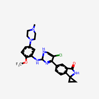 CN1CCN(c2ccc(OC(F)(F)F)c(NC3N=C(c4ccc5c(c4)C(=O)NC54CC4)C(Cl)=CN3)c2)CC1